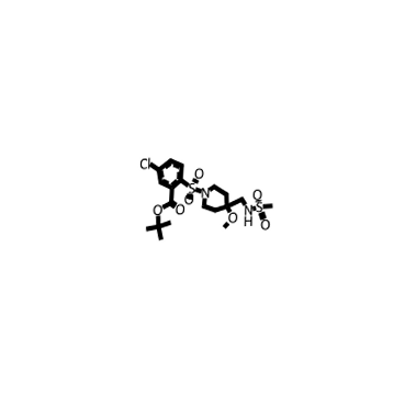 COC1(CNS(C)(=O)=O)CCN(S(=O)(=O)c2ccc(Cl)cc2C(=O)OC(C)(C)C)CC1